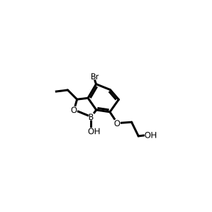 CCC1OB(O)c2c(OCCO)ccc(Br)c21